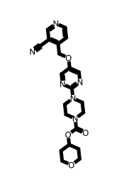 N#Cc1cnccc1COc1cnc(N2CCN(C(=O)OC3CCOCC3)CC2)nc1